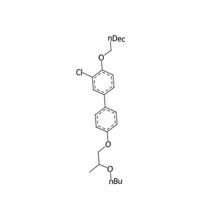 CCCCCCCCCCCOc1ccc(-c2ccc(OCC(C)OCCCC)cc2)cc1Cl